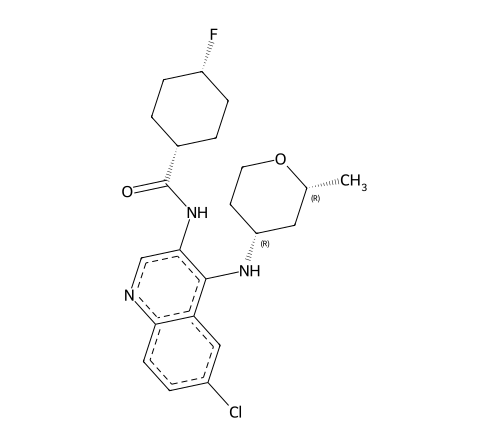 C[C@@H]1C[C@H](Nc2c(NC(=O)[C@H]3CC[C@@H](F)CC3)cnc3ccc(Cl)cc23)CCO1